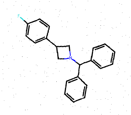 Fc1ccc(C2CN(C(c3ccccc3)c3ccccc3)C2)cc1